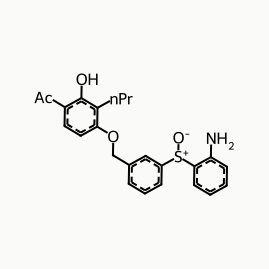 CCCc1c(OCc2cccc([S+]([O-])c3ccccc3N)c2)ccc(C(C)=O)c1O